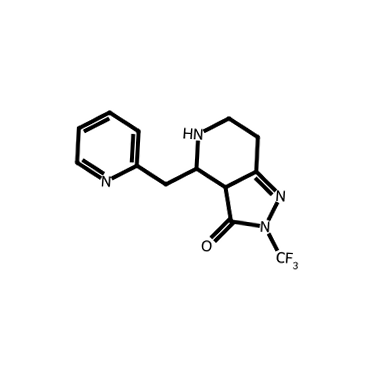 O=C1C2C(=NN1C(F)(F)F)CCNC2Cc1ccccn1